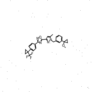 COC1(c2cccc(Cn3nc(-c4nc(-c5ccc(C6(C(F)(F)F)CC6)cc5)no4)cc3C)c2)CC1